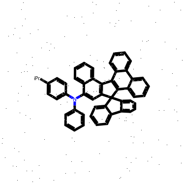 CC(C)c1ccc(N(c2ccccc2)c2cc3c(c4ccccc24)-c2c(c4ccccc4c4ccccc24)C32c3ccccc3-c3ccccc32)cc1